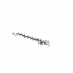 CCCCCCCCCCCCCCCCOCC(=O)OC(C)(C)C